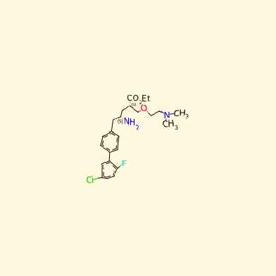 CCOC(=O)[C@H](COCCN(C)C)C[C@H](N)Cc1ccc(-c2cc(Cl)ccc2F)cc1